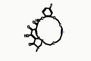 CN1CN2CCCCC/C=C\CCOc3cc(F)ccc3CNC(=O)c3cn2c(c(O)c3=O)C1=O